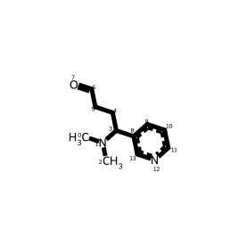 CN(C)C(CCC=O)c1cccnc1